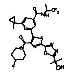 CC(NC(=O)c1cc(-c2sc(-c3nnc(C(C)(C)O)o3)nc2C(=O)N2CCC(F)CC2)cc(C2(C)CC2)c1)C(F)(F)F